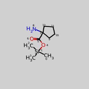 C[Si](C)(C)OC(=O)C1(N)CCCC1